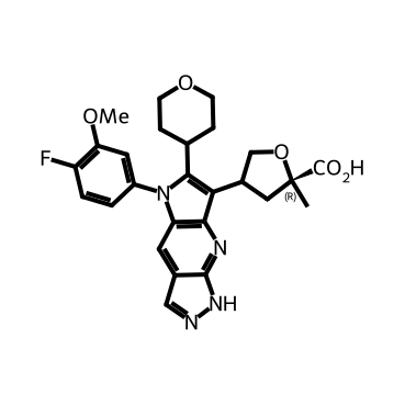 COc1cc(-n2c(C3CCOCC3)c(C3CO[C@@](C)(C(=O)O)C3)c3nc4[nH]ncc4cc32)ccc1F